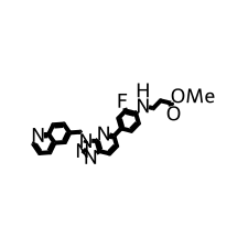 COC(=O)CCNc1ccc(-c2ccc3nnn(Cc4ccc5ncccc5c4)c3n2)cc1F